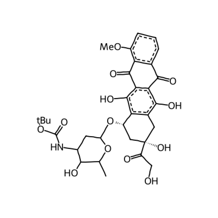 COc1cccc2c1C(=O)c1c(O)c3c(c(O)c1C2=O)C[C@@](O)(C(=O)CO)C[C@@H]3OC1CC(NC(=O)OC(C)(C)C)C(O)C(C)O1